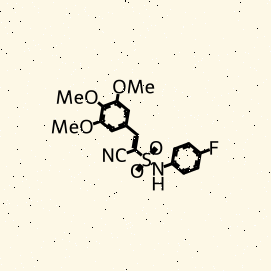 COc1cc(/C=C(\C#N)S(=O)(=O)Nc2ccc(F)cc2)cc(OC)c1OC